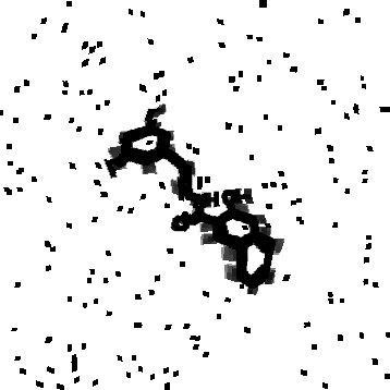 O=C(N/N=C/c1cc(F)cc(F)c1)c1cc2ccccc2cc1O